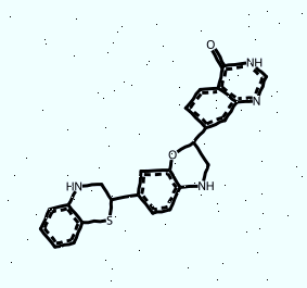 O=c1[nH]cnc2cc(C3CNc4ccc(C5CNc6ccccc6S5)cc4O3)ccc12